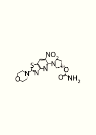 NC(=O)O[C@H]1CCN(c2nc3nc(N4CCOCC4)sc3cc2[N+](=O)[O-])C1